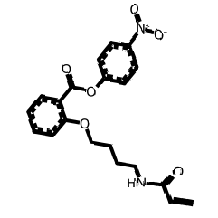 C=CC(=O)NCCCCOc1ccccc1C(=O)Oc1ccc([N+](=O)[O-])cc1